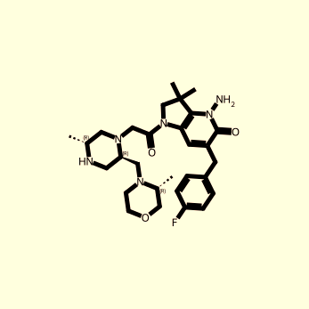 C[C@@H]1CN(CC(=O)N2CC(C)(C)c3c2cc(Cc2ccc(F)cc2)c(=O)n3N)[C@@H](CN2CCOC[C@H]2C)CN1